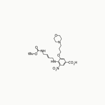 CC(C)(C)OC(=O)NCC=CCNc1c(OCCCN2CCOCC2)cc(C(=O)O)cc1[N+](=O)[O-]